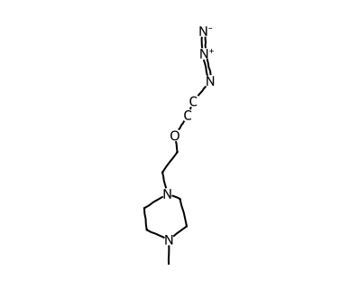 CN1CCN(CCOCCN=[N+]=[N-])CC1